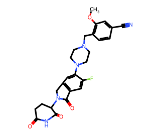 COc1cc(C#N)ccc1CN1CCN(c2cc3c(cc2F)C(=O)N(C2CCC(=O)NC2=O)C3)CC1